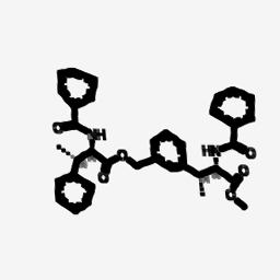 COC(=O)[C@@H](NC(=O)c1ccccc1)[C@H](C)c1cccc(COC(=O)[C@H](NC(=O)c2ccccc2)[C@@H](C)c2ccccc2)c1